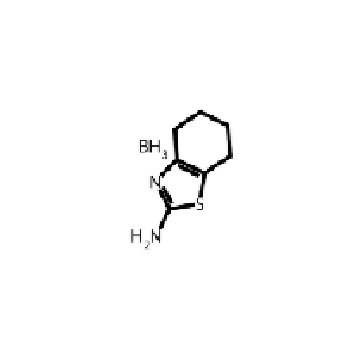 B.Nc1nc2c(s1)CCCC2